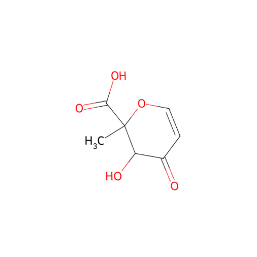 CC1(C(=O)O)OC=CC(=O)C1O